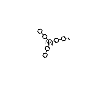 C=Cc1ccc(-c2ccc(-c3cc(-c4ccc(-c5ccccc5)cc4)nc(-c4ccc(-c5ccccc5)cc4)n3)cc2)cc1